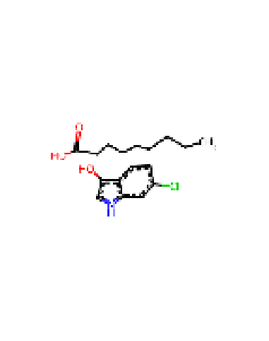 CCCCCCCCC(=O)O.Oc1c[nH]c2cc(Cl)ccc12